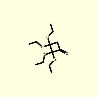 CCOC1(OCC)CC(=O)C1(OCC)OCC